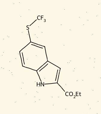 CCOC(=O)c1cc2cc(SC(F)(F)F)ccc2[nH]1